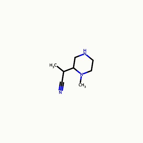 CC(C#N)C1CNCCN1C